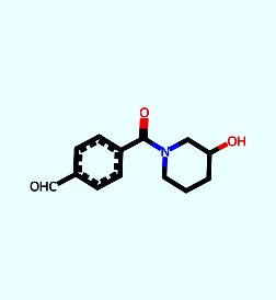 O=Cc1ccc(C(=O)N2CCCC(O)C2)cc1